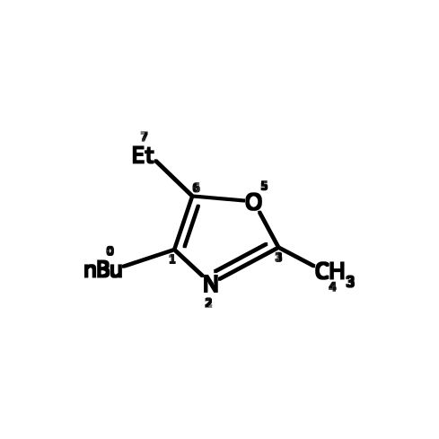 CCCCc1nc(C)oc1CC